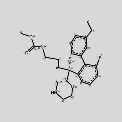 CCc1cccc(-c2c(F)cccc2[C@](O)(CCCNC(=O)OC)[C@H]2CNCCO2)c1